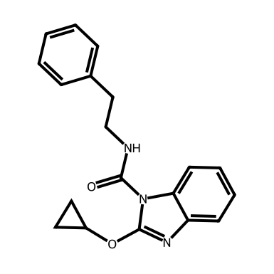 O=C(NCCc1ccccc1)n1c(OC2CC2)nc2ccccc21